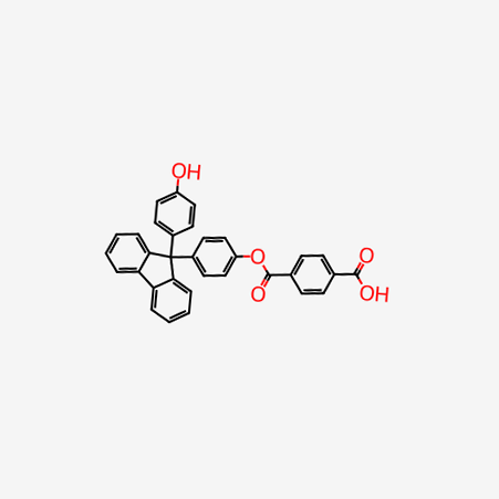 O=C(O)c1ccc(C(=O)Oc2ccc(C3(c4ccc(O)cc4)c4ccccc4-c4ccccc43)cc2)cc1